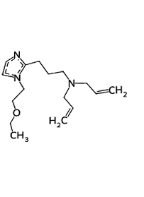 C=CCN(CC=C)CCCc1nccn1CCOCC